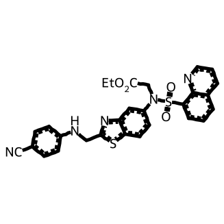 CCOC(=O)CN(c1ccc2sc(CNc3ccc(C#N)cc3)nc2c1)S(=O)(=O)c1cccc2cccnc12